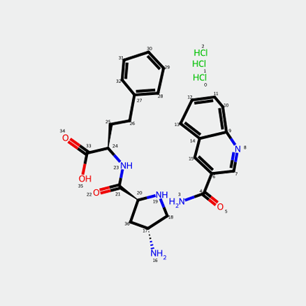 Cl.Cl.Cl.NC(=O)c1cnc2ccccc2c1.N[C@H]1CN[C@H](C(=O)N[C@H](CCc2ccccc2)C(=O)O)C1